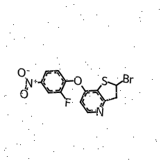 O=[N+]([O-])c1ccc(Oc2ccnc3c2SC(Br)C3)c(F)c1